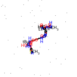 CCN(c1cc(-c2ccc(CN3CCN(CC(=O)NCCCCCOCCOCCC(=O)N[C@H](C(=O)N4C[C@H](O)CC4C(=O)NCc4ccc(-c5scnc5C)cc4)C(C)(C)C)CC3)cc2)cc(C(=O)NCc2c(C)cc(C)[nH]c2=O)c1C)C1CCOCC1